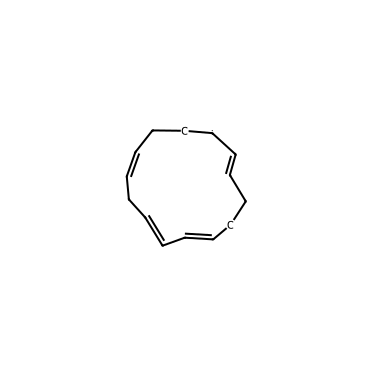 [CH]1/C=C/CC/C=C/C=C/C/C=C\CC1